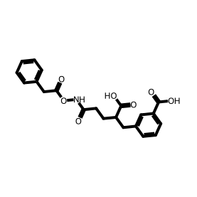 O=C(CCC(Cc1cccc(C(=O)O)c1)C(=O)O)NOC(=O)Cc1ccccc1